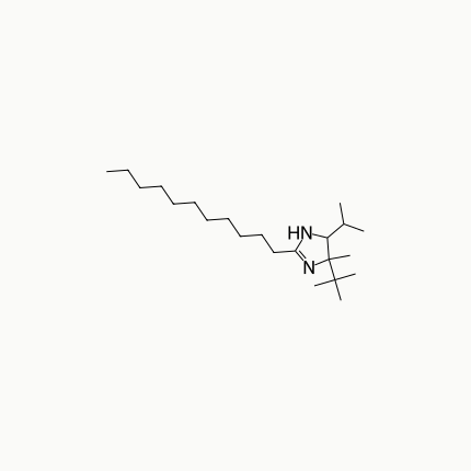 CCCCCCCCCCCC1=NC(C)(C(C)(C)C)C(C(C)C)N1